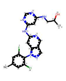 N#Cc1cc(F)c(-n2ncc3cnc(Nc4cc(NCC(O)C(F)(F)F)ncn4)cc32)c(Cl)c1